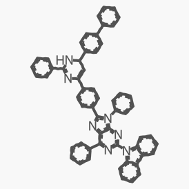 C1=C(c2ccc(-c3nc4c(-c5ccccc5)nc(-n5c6ccccc6c6ccccc65)nc4n3-c3ccccc3)cc2)N=C(c2ccccc2)NC1c1ccc(-c2ccccc2)cc1